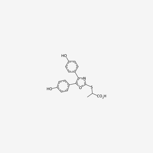 CC(Sc1nc(-c2ccc(O)cc2)c(-c2ccc(O)cc2)o1)C(=O)O